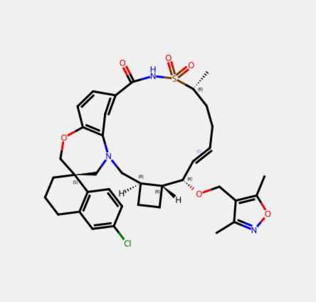 Cc1noc(C)c1CO[C@H]1/C=C/CC[C@@H](C)S(=O)(=O)NC(=O)c2ccc3c(c2)N(C[C@@H]2CC[C@H]21)C[C@@]1(CCCc2cc(Cl)ccc21)CO3